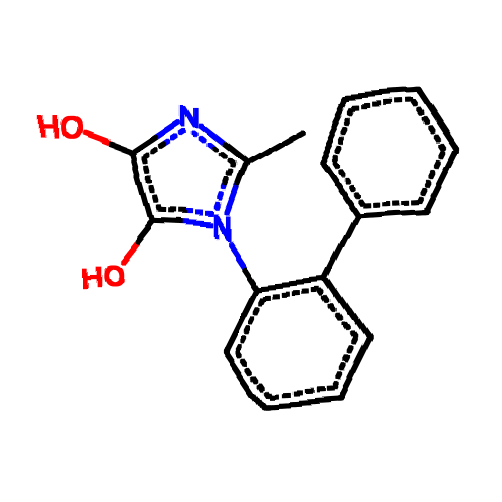 Cc1nc(O)c(O)n1-c1ccccc1-c1ccccc1